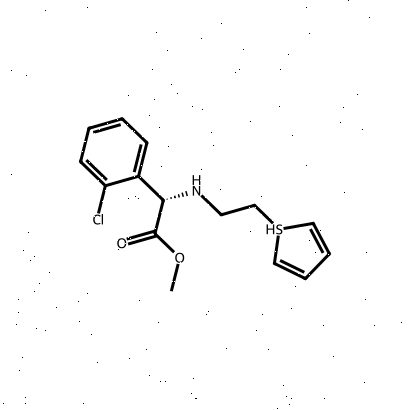 COC(=O)[C@@H](NCC[SH]1C=CC=C1)c1ccccc1Cl